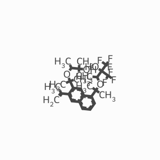 C=C(C)c1cc2cccc(C(C)(C)OC(C)C(O)(C(F)(F)F)C(F)(F)F)c2cc1C(C)(C)OC(C)C(C)(C)O